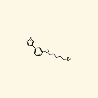 BrCCCCCOc1cccc(-c2ccsc2)c1